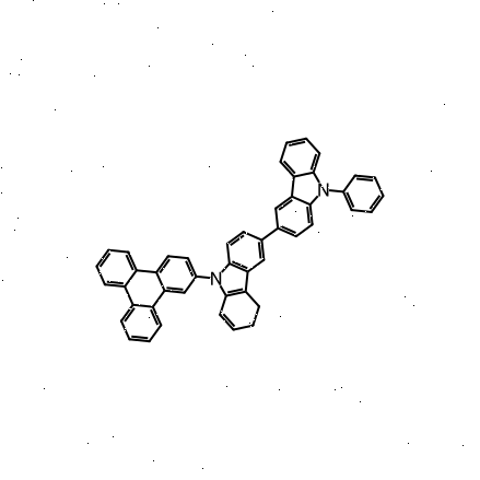 C1=Cc2c(c3cc(-c4ccc5c(c4)c4ccccc4n5-c4ccccc4)ccc3n2-c2ccc3c4ccccc4c4ccccc4c3c2)CC1